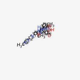 COc1cc(N2CCC(N3CCN(C)CC3)CC2)ccc1Nc1ncc(-c2ccc(C=O)c(O)c2)c(Nc2ccccc2P(C)(C)=O)n1